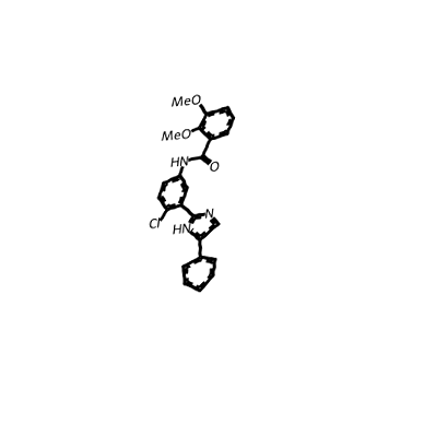 COc1cccc(C(=O)Nc2ccc(Cl)c(-c3ncc(-c4ccccc4)[nH]3)c2)c1OC